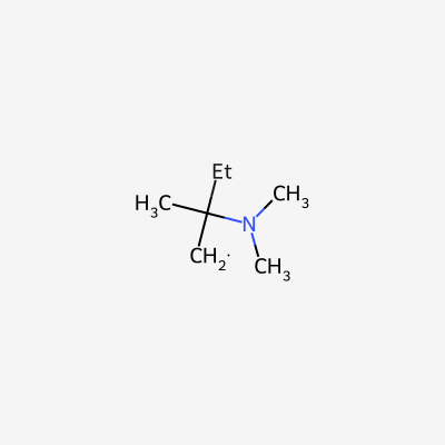 [CH2]C(C)(CC)N(C)C